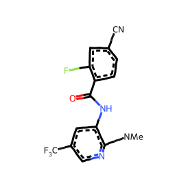 CNc1ncc(C(F)(F)F)cc1NC(=O)c1ccc(C#N)cc1F